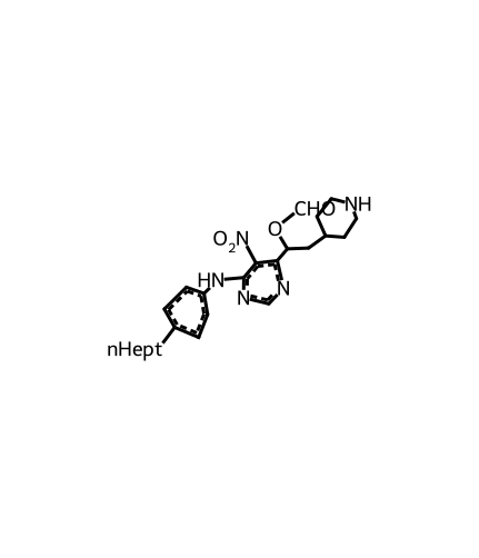 CCCCCCCc1ccc(Nc2ncnc(C(CC3CCNCC3)OC=O)c2[N+](=O)[O-])cc1